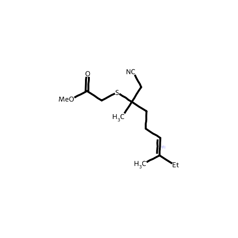 CC/C(C)=C/CCC(C)(CC#N)SCC(=O)OC